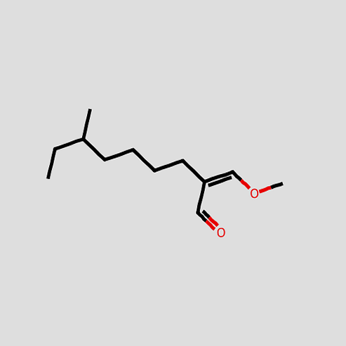 CCC(C)CCCCC(C=O)=COC